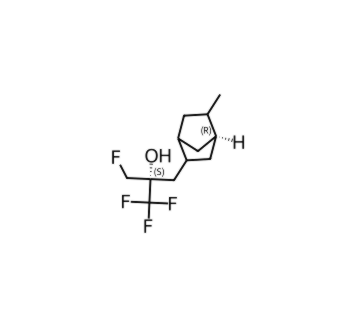 CC1CC2C[C@@H]1CC2C[C@](O)(CF)C(F)(F)F